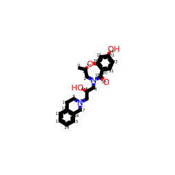 CC1CN(CC(O)CN2CCc3ccccc3C2)C(=O)c2ccc(O)cc2O1